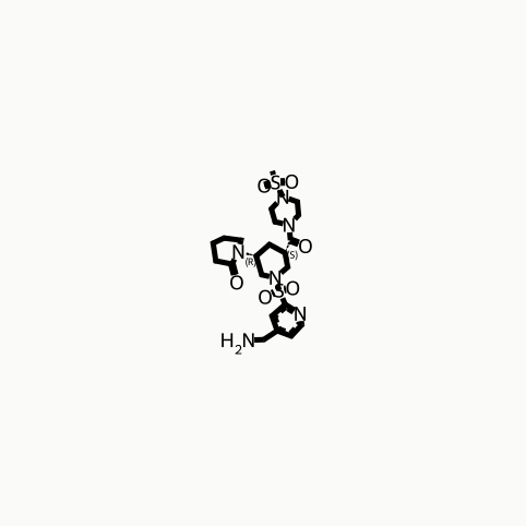 CS(=O)(=O)N1CCN(C(=O)[C@H]2C[C@@H](N3CCCCC3=O)CN(S(=O)(=O)c3cc(CN)ccn3)C2)CC1